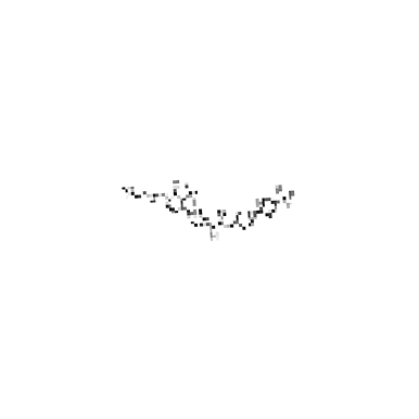 C[C@@H](CONC(=O)C=C1CCN(c2ncc(C(F)(F)F)cn2)CC1)Nc1cnn(COCC[Si](C)(C)C)c(=O)c1C(F)(F)F